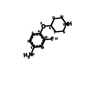 Nc1ccc(OC2CCNCC2)c(F)c1